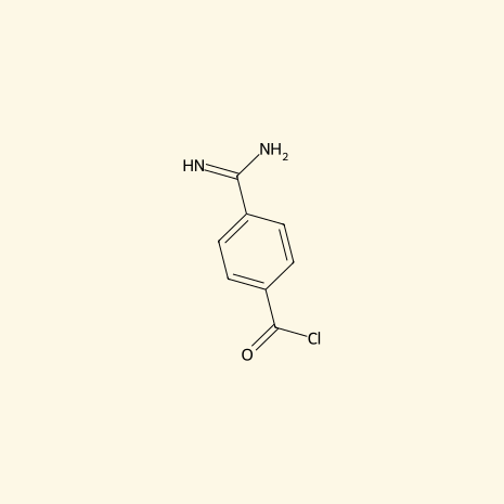 N=C(N)c1ccc(C(=O)Cl)cc1